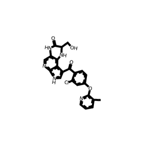 Cc1cccnc1Oc1ccc(C(=O)c2c[nH]c3ncc4c(c23)NC(CO)C(=O)N4)c(Cl)c1